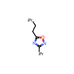 CC(C)CCc1nc(C(C)C)no1